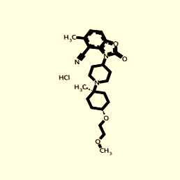 COCCO[C@H]1CC[C@](C)(N2CCC(n3c(=O)oc4ccc(C)c(C#N)c43)CC2)CC1.Cl